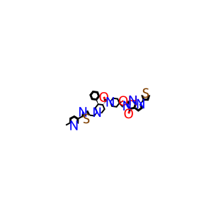 Cc1ccc(-c2ncc(CN3CC[C@@H](C(=O)N4CCC(O)(Cn5cnc6c(ccn6-c6ccsc6)c5=O)CC4)[C@H](c4ccccc4)C3)s2)cn1